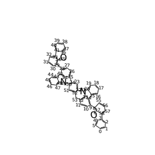 c1ccc2c(c1)oc1c(-c3ccc4c5c3c3ccccc3n5-c3cc5c6ccc(-c7cccc8c7oc7ccccc78)c7c8ccccc8n(c5cc3C4)c67)cccc12